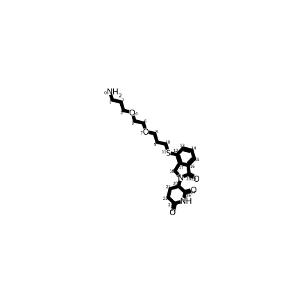 NCCCOCCOCCCSc1cccc2c1CN(C1CCC(=O)NC1=O)C2=O